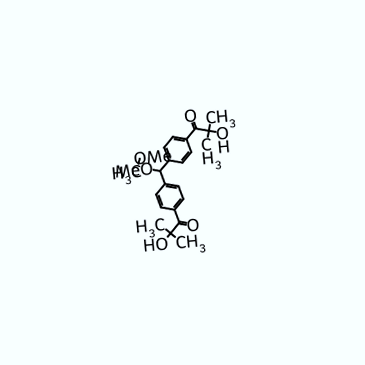 COC.COC(c1ccc(C(=O)C(C)(C)O)cc1)c1ccc(C(=O)C(C)(C)O)cc1